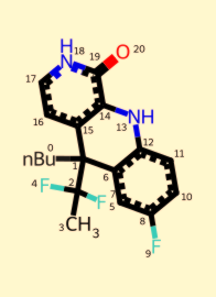 CCCCC1(C(C)(F)F)c2cc(F)ccc2Nc2c1cc[nH]c2=O